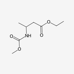 CCOC(=O)CC(C)NC(=O)OC